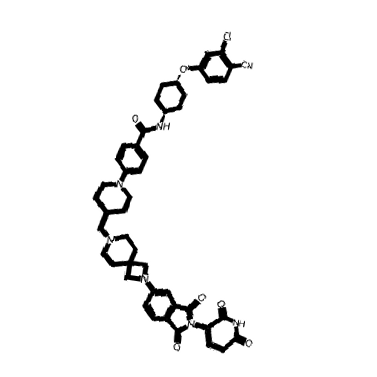 N#Cc1ccc(O[C@H]2CC[C@H](NC(=O)c3ccc(N4CCC(CN5CCC6(CC5)CN(c5ccc7c(c5)C(=O)N(C5CCC(=O)NC5=O)C7=O)C6)CC4)cc3)CC2)cc1Cl